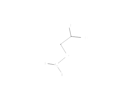 CC(O)CON(F)F